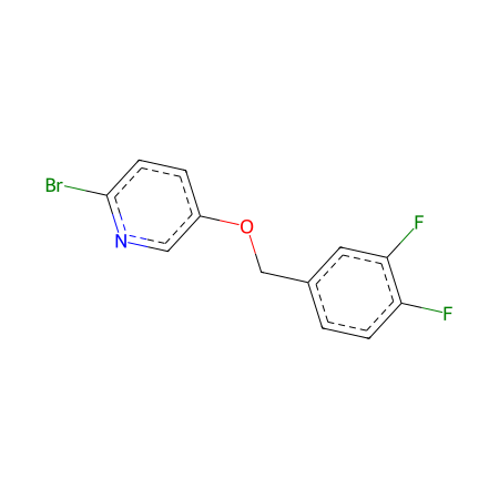 Fc1ccc(COc2ccc(Br)nc2)cc1F